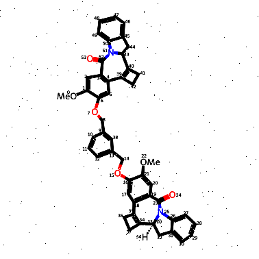 COc1cc2c(cc1OCc1cccc(COc3cc4c(cc3OC)C(=O)N3c5ccccc5C[C@H]3C3=C4CC3)c1)C1=C(CC1)C1Cc3ccccc3N1C2=O